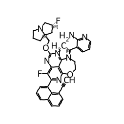 C#Cc1cccc2cccc(-c3nc4c5c(nc(OC[C@@]67CCCN6C[C@H](F)C7)nc5c3F)N([C@H](C)c3cccnc3N)CCO4)c12